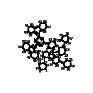 c1ccc(-c2cccc([Si](c3cccc(-c4ccccc4)c3)(c3cccc(-c4ccccc4)c3)c3cccc(-c4nc(-n5c6ccccc6c6ccccc65)nc(-n5c6ccccc6c6ccccc65)n4)c3)c2)cc1